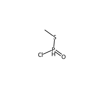 CS[PH](=O)Cl